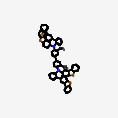 Cc1cc(-c2ccc(N(c3ccc4sc5ccccc5c4c3)c3ccccc3-c3ccc4sc5ccccc5c4c3)c(C)c2)ccc1N(c1ccc2sc3ccccc3c2c1)c1ccccc1-c1ccc2sc3ccccc3c2c1